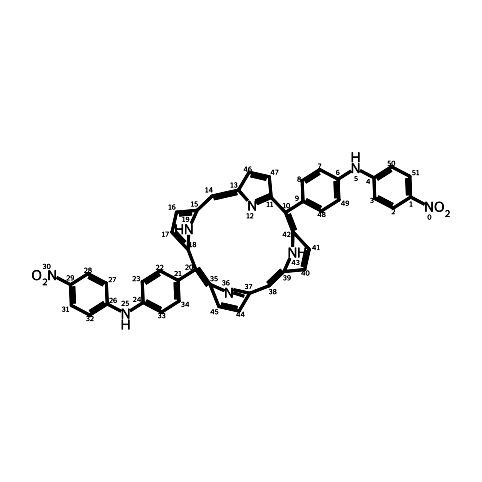 O=[N+]([O-])c1ccc(Nc2ccc(-c3c4nc(cc5ccc([nH]5)c(-c5ccc(Nc6ccc([N+](=O)[O-])cc6)cc5)c5nc(cc6ccc3[nH]6)C=C5)C=C4)cc2)cc1